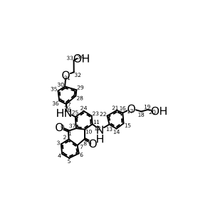 O=C1c2ccccc2C(=O)c2c(Nc3ccc(OCCO)cc3)ccc(Nc3ccc(OCCO)cc3)c21